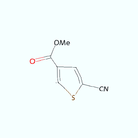 COC(=O)c1[c]sc(C#N)c1